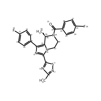 Cc1nsc(-c2nc(-c3ccc(F)cc3)c3n2CCN(C(=O)c2ccc(F)cc2)[C@@H]3C)n1